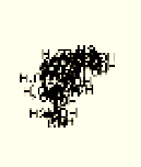 C[C@H](CCC(OC1OC(COC2OC(CO)C(O)C(O)C2O)C(O)C(O)C1OC1OC(CO)C(O)C(O)C1O)C(C)(C)O)[C@H]1CC[C@@]2(C)C3CC=C4C(CC[C@H](OC5OC(CO)C(OC6OC(CO)C(O)C(O)C6O)C(O)C5O)C4(C)C)[C@]3(C)CC[C@]12C